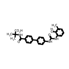 Cc1cccc(NC(=O)Nc2ccc(-c3ccc(C(=O)NC(C)(C)C(=O)O)cc3)cc2)c1C